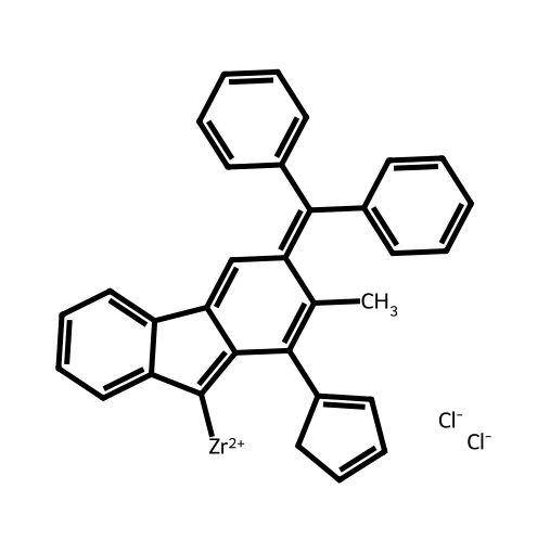 Cc1c(C2=CC=CC2)c2c(cc1=C(c1ccccc1)c1ccccc1)-c1ccccc1[C]=2[Zr+2].[Cl-].[Cl-]